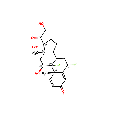 C[C@]12C=CC(=O)C=C1[C@@H](F)CC1C3CC[C@](O)(C(=O)CO)[C@@]3(C)C[C@H](O)[C@@]12F